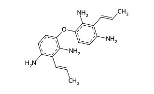 CC=Cc1c(N)ccc(Oc2ccc(N)c(C=CC)c2N)c1N